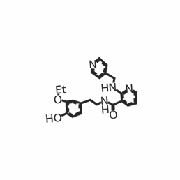 CCOc1cc(CCNC(=O)c2cccnc2NCc2ccncc2)ccc1O